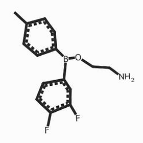 Cc1ccc(B(OCCN)c2ccc(F)c(F)c2)cc1